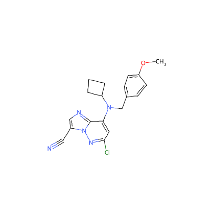 COc1ccc(CN(c2cc(Cl)nn3c(C#N)cnc23)C2CCC2)cc1